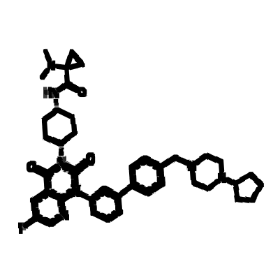 CN(C)C1(C(=O)N[C@H]2CC[C@@H](n3c(=O)c4cc(F)cnc4n(-c4cccc(-c5ccc(CN6CCN(C7CCCC7)CC6)cc5)c4)c3=O)CC2)CC1